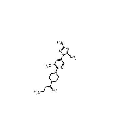 CCCC(=N)C1CCN(c2ncc(-n3nc(N)nc3N)cc2C)CC1